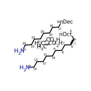 CC(=O)O.CC(=O)O.CCCCCCCC/C=C\CCCCCCCCN.CCCCCCCCCCCCCCCCCCN